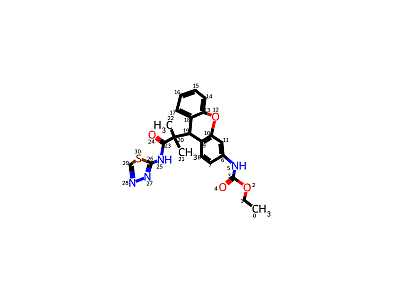 CCOC(=O)Nc1ccc2c(c1)Oc1ccccc1C2C(C)(C)C(=O)Nc1nncs1